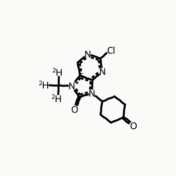 [2H]C([2H])([2H])n1c(=O)n(C2CCC(=O)CC2)c2nc(Cl)ncc21